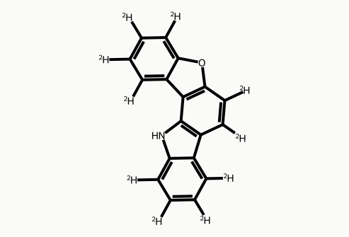 [2H]c1c([2H])c([2H])c2c([nH]c3c2c([2H])c([2H])c2oc4c([2H])c([2H])c([2H])c([2H])c4c23)c1[2H]